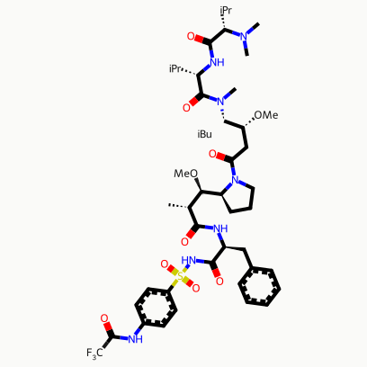 CC[C@H](C)[C@@H]([C@@H](CC(=O)N1CCC[C@H]1[C@H](OC)[C@@H](C)C(=O)N[C@@H](Cc1ccccc1)C(=O)NS(=O)(=O)c1ccc(NC(=O)C(F)(F)F)cc1)OC)N(C)C(=O)[C@@H](NC(=O)[C@H](C(C)C)N(C)C)C(C)C